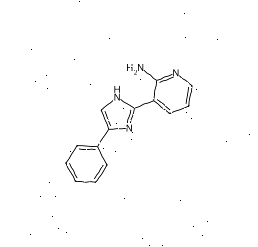 Nc1ncccc1-c1nc(-c2ccccc2)c[nH]1